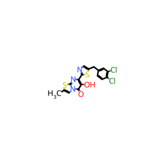 Cc1cn2c(=O)c(O)c(-c3ncc(Cc4ccc(Cl)c(Cl)c4)s3)nc2s1